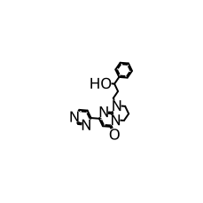 O=c1cc(-c2ccncn2)nc2n1CCCN2CCC(O)c1ccccc1